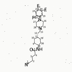 N#CCCCC(=O)N[C@H]1CC[C@H](CCN2CCN(c3cc(F)c(F)cc3F)CC2)CC1